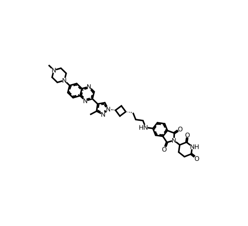 Cc1nn([C@H]2C[C@@H](CCCNc3ccc4c(c3)C(=O)N(C3CCC(=O)NC3=O)C4=O)C2)cc1-c1cnc2cc(N3CCN(C)CC3)ccc2n1